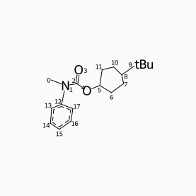 CN(C(=O)OC1CCC(C(C)(C)C)CC1)c1ccccc1